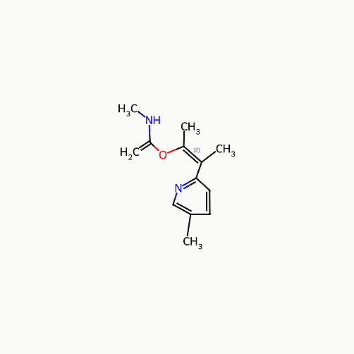 C=C(NC)O/C(C)=C(/C)c1ccc(C)cn1